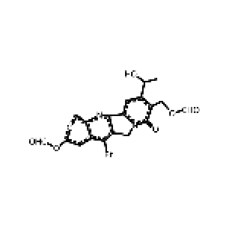 CCc1c2c(nc3ccc(OC=O)cc13)-c1cc(C(C)O)c(COC=O)c(=O)n1C2